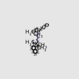 C[N+]1=C(/C=C/C=C/C=C2/N(CCOC=O)CCC2(C)C)C(C)(C)c2c1ccc1ccccc21